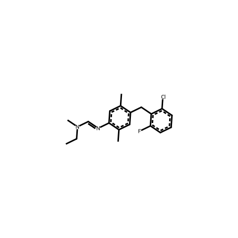 CCN(C)C=Nc1cc(C)c(Cc2c(F)cccc2Cl)cc1C